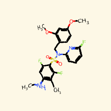 CNc1cc(F)c(S(=O)(=O)N(Cc2ccc(OC)cc2OC)c2cccc(F)n2)c(F)c1C